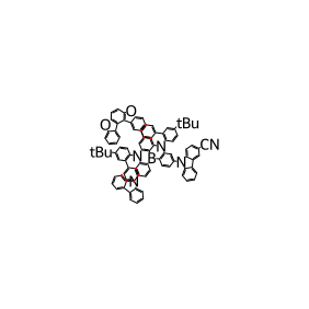 CC(C)(C)c1ccc(N2c3cc(-n4c5ccccc5c5ccccc54)ccc3B3c4ccc(-n5c6ccccc6c6cc(C#N)ccc65)cc4N(c4ccc(C(C)(C)C)cc4-c4ccccc4)c4cc(-c5ccc6oc7ccc8oc9ccccc9c8c7c6c5)cc2c43)c(-c2ccccc2)c1